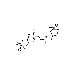 O=S1(=O)CC(OS(=O)(=O)CCS(=O)(=O)OC2COS(=O)(=O)C2)CO1